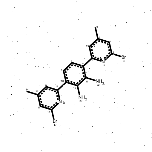 Cc1cc(Br)nc(-c2ccc(-c3cc(C)cc(Br)n3)c(N)c2N)c1